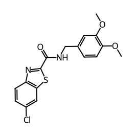 COc1ccc(CNC(=O)c2nc3ccc(Cl)cc3s2)cc1OC